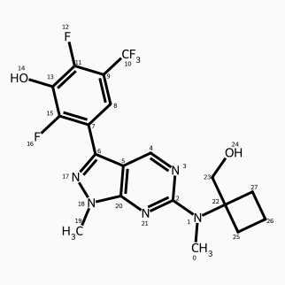 CN(c1ncc2c(-c3cc(C(F)(F)F)c(F)c(O)c3F)nn(C)c2n1)C1(CO)CCC1